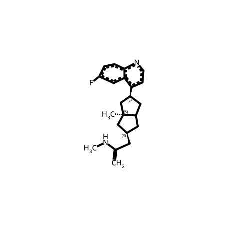 C=C(C[C@@H]1CC2C[C@H](c3ccnc4ccc(F)cc34)C[C@]2(C)C1)NC